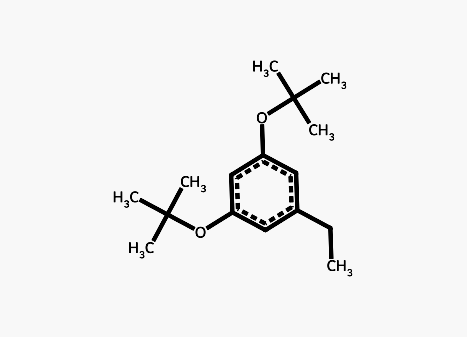 CCc1cc(OC(C)(C)C)cc(OC(C)(C)C)c1